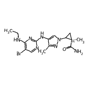 CCNc1nc(Nc2cn(C3C[C@@]3(C)C(N)=O)nc2C)ncc1Br